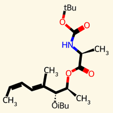 C/C=C\C=C(/C)[C@@H](OCC(C)C)[C@H](C)OC(=O)[C@H](C)NC(=O)OC(C)(C)C